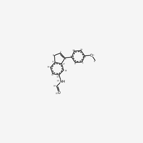 COc1ccc(C2=CCc3ccc(NC=O)cc32)cc1